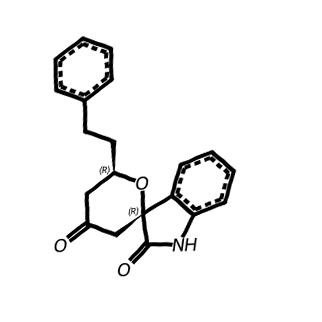 O=C1C[C@@H](CCc2ccccc2)O[C@@]2(C1)C(=O)Nc1ccccc12